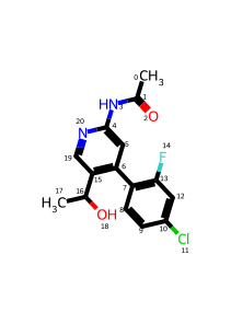 CC(=O)Nc1cc(-c2ccc(Cl)cc2F)c(C(C)O)cn1